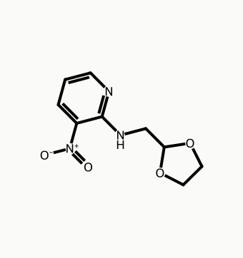 O=[N+]([O-])c1cccnc1NCC1OCCO1